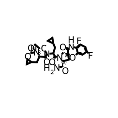 CN(C(=O)C(CC1CC1)N1CCOC1=O)C(CC1CC1)C(=O)N1C[C@@]2(C[C@H]1C(N)=O)Oc1cc(F)cc(F)c1NC2=O